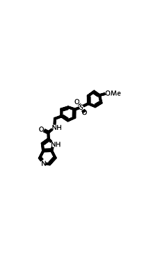 COc1ccc(S(=O)(=O)c2ccc(CNC(=O)c3cc4cnccc4[nH]3)cc2)cc1